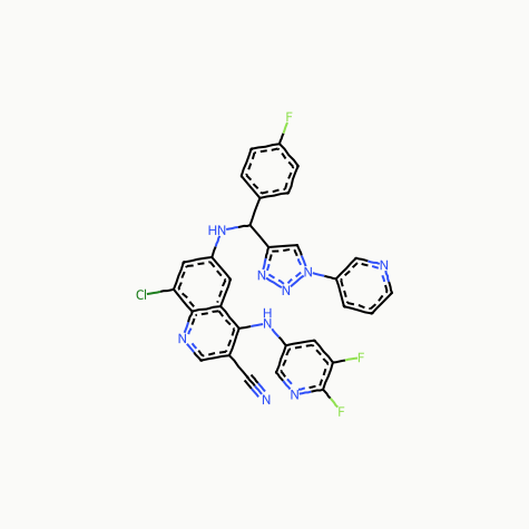 N#Cc1cnc2c(Cl)cc(NC(c3ccc(F)cc3)c3cn(-c4cccnc4)nn3)cc2c1Nc1cnc(F)c(F)c1